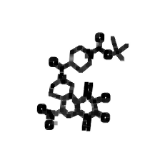 CC(C)(C)OC(=O)N1CCC(C(=O)N2CCc3c([N+](=O)[O-])cc4[nH]c(=O)c(=O)[nH]c4c3C2)CC1